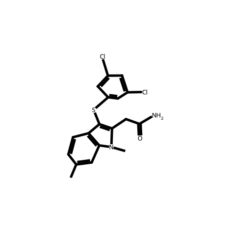 Cc1ccc2c(Sc3cc(Cl)cc(Cl)c3)c(CC(N)=O)n(C)c2c1